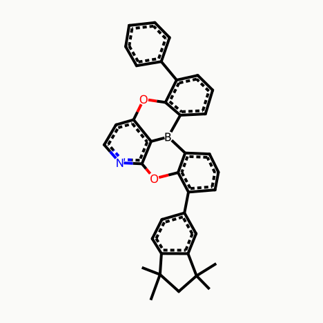 CC1(C)CC(C)(C)c2cc(-c3cccc4c3Oc3nccc5c3B4c3cccc(-c4ccccc4)c3O5)ccc21